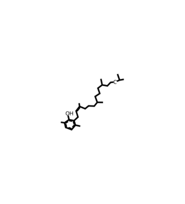 CC(=CCc1c(C)ccc(C)c1O)CCCC(C)CCCC(C)CCCC(C)C